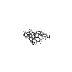 CCc1ccc(N(c2ccccc2)c2cccc3c2c2cccc4c5c(N(c6ccccc6)c6ccc(CC)cc6)cccc5n3c24)cc1